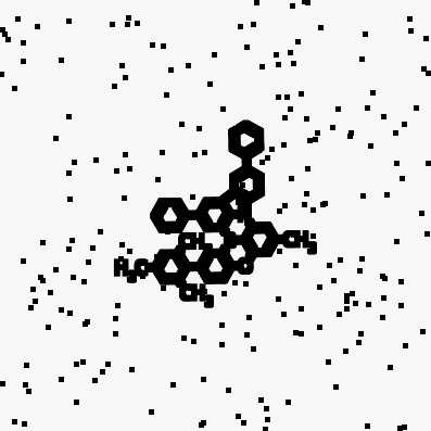 Cc1cc(C)c(-c2ccc3c(c2)B2c4c(cc(C)cc4-n4c5ccc(-c6ccccc6)cc5c5cc(-c6ccccc6)cc2c54)O3)c(C)c1